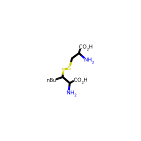 CCCCC(SSCC(N)C(=O)O)C(N)C(=O)O